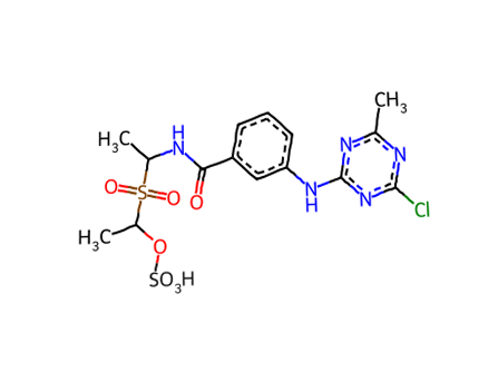 Cc1nc(Cl)nc(Nc2cccc(C(=O)NC(C)S(=O)(=O)C(C)OS(=O)(=O)O)c2)n1